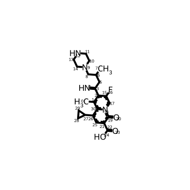 Cc1c(C(=N)CC(C)CN2CCNCC2)c(F)cn2c(=O)c(C(=O)O)cc(C3CC3)c12